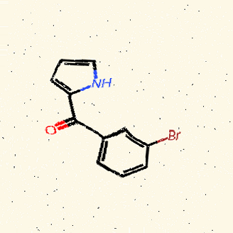 O=C(c1cccc(Br)c1)c1ccc[nH]1